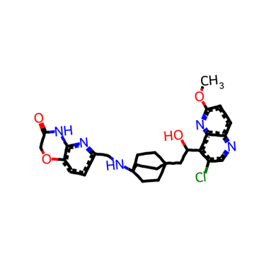 COc1ccc2ncc(Cl)c(C(O)CC34CCC(NCc5ccc6c(n5)NC(=O)CO6)(CC3)CC4)c2n1